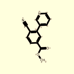 COC(=O)c1ccc(C#N)c(-c2cccnc2)c1